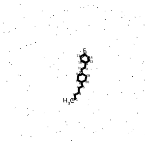 CCCCCCC1CC=C(CCc2ccc(F)cc2)CC1